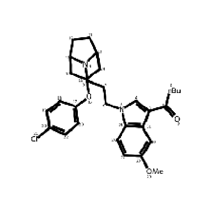 CCCCC(=O)c1cn(CCCN2C3CCC2CC(Oc2ccc(Cl)cc2)C3)c2ccc(OC)cc12